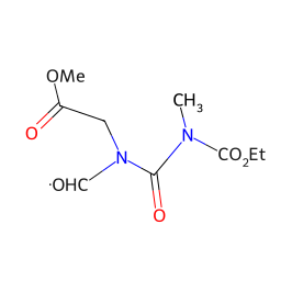 CCOC(=O)N(C)C(=O)N([C]=O)CC(=O)OC